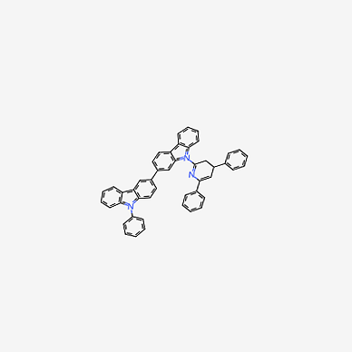 C1=C(c2ccccc2)N=C(n2c3ccccc3c3ccc(-c4ccc5c(c4)c4ccccc4n5-c4ccccc4)cc32)CC1c1ccccc1